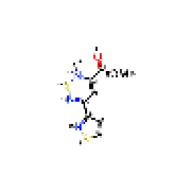 COC(=O)C1=CC(c2ccsn2)=NSN1C